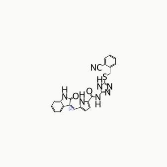 N#Cc1ccccc1CSc1nnc(NC(=O)c2ccc(/C=C3\C(=O)Nc4ccccc43)[nH]2)[nH]1